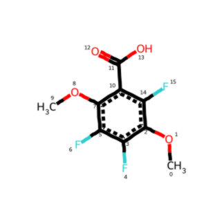 COc1c(F)c(F)c(OC)c(C(=O)O)c1F